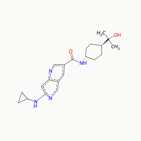 CC(C)(O)[C@H]1CC[C@H](NC(=O)c2cnc3cc(NC4CC4)ncc3c2)CC1